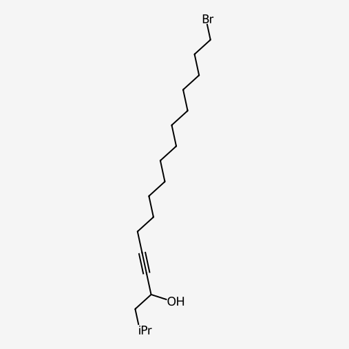 CC(C)CC(O)C#CCCCCCCCCCCCCBr